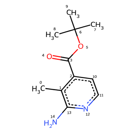 Cc1c(C(=O)OC(C)(C)C)ccnc1N